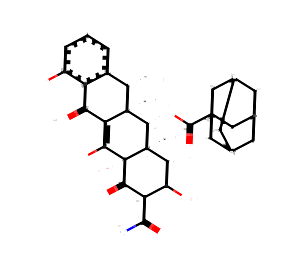 C[C@H]1c2cccc(O)c2C(=O)C2=C(O)[C@]3(O)C(=O)C(C(N)=O)C(O)C[C@@H]3[C@@H](OC(=O)C34CC5CC(CC(C5)C3)C4)[C@@H]21